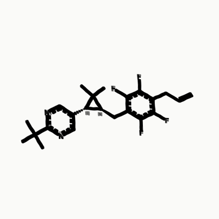 C=CCc1c(F)c(F)c(C[C@H]2[C@H](c3cnc(C(C)(C)C)nc3)C2(C)C)c(F)c1F